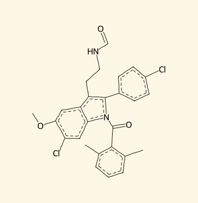 COc1cc2c(CCNC=O)c(-c3ccc(Cl)cc3)n(C(=O)c3c(C)cccc3C)c2cc1Cl